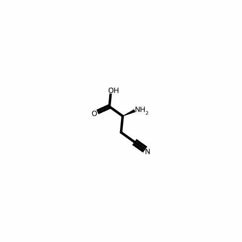 N#CC[C@H](N)C(=O)O